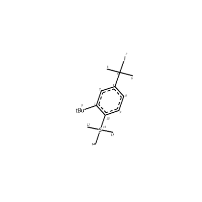 CC(C)(C)c1cc(C(C)(C)I)ccc1S(C)(C)C